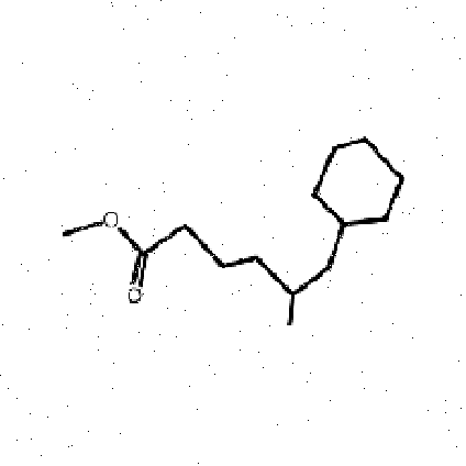 COC(=O)CCCC(C)CC1CCCCC1